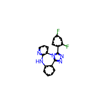 Fc1ccc(-c2nnc3n2-c2cccnc2Nc2ccccc2-3)c(F)c1